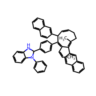 C\C=C/C1=C(\c2ccc(C3Nc4ccccc4N3c3ccccc3)cc2)C(c2ccc3ccccc3c2)C=CCC\C(C)=C\1c1ccc2ccccc2c1